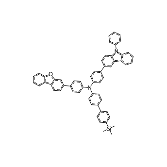 C[Si](C)(C)c1ccc(-c2ccc(N(c3ccc(-c4ccc5c(c4)oc4ccccc45)cc3)c3ccc(-c4ccc5c(c4)c4ccccc4n5-c4ccccc4)cc3)cc2)cc1